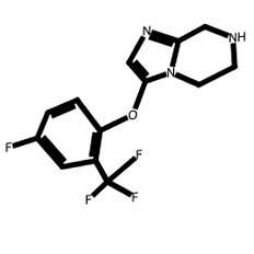 Fc1ccc(Oc2cnc3n2CCNC3)c(C(F)(F)F)c1